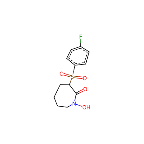 O=C1C(S(=O)(=O)c2ccc(F)cc2)CCCCN1O